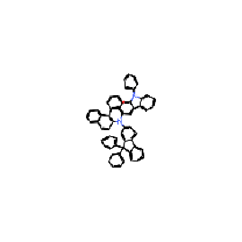 C1=CCCC(C2(c3ccccc3)c3ccccc3-c3ccc(N(c4ccc5c(c4)c4ccccc4n5-c4ccccc4)c4ccc5ccccc5c4-c4ccccc4)cc32)=C1